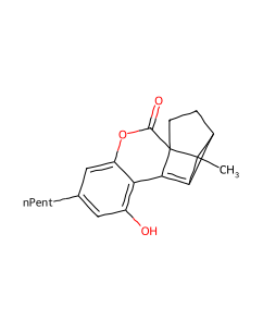 CCCCCc1cc(O)c2c(c1)OC(=O)C13CCC4C(=C21)C43C